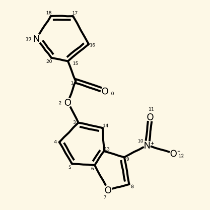 O=C(Oc1ccc2occ([N+](=O)[O-])c2c1)c1cccnc1